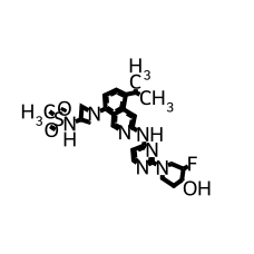 CC(C)c1ccc(N2CC(NS(C)(=O)=O)C2)c2cnc(Nc3ccnc(N4CCC(O)C(F)C4)n3)cc12